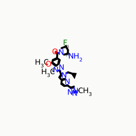 COc1cc(C(=O)N2C[C@H](N)C[C@@H](F)C2)cc2nc(-c3cc4ccc(-c5cn(C)nn5)nc4n3CC3CC3)n(C)c12